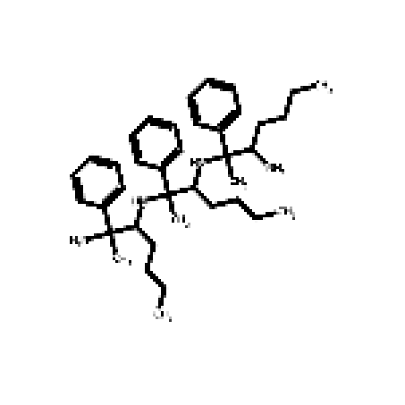 CCCCC(NC(C)(c1ccccc1)C(CCCC)NC(C)(c1ccccc1)C(N)CCCC)C(C)(N)c1ccccc1